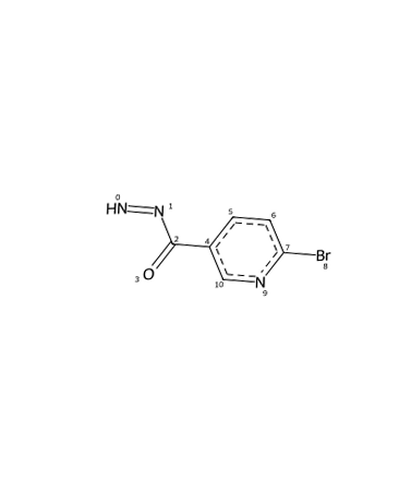 N=NC(=O)c1ccc(Br)nc1